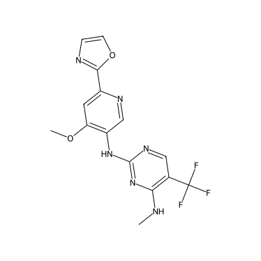 CNc1nc(Nc2cnc(-c3ncco3)cc2OC)ncc1C(F)(F)F